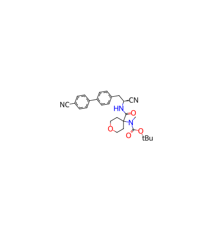 CN(C(=O)OC(C)(C)C)C1(C(=O)N[C@H](C#N)Cc2ccc(-c3ccc(C#N)cc3)cc2)CCOCC1